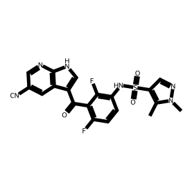 [C-]#[N+]c1cnc2[nH]cc(C(=O)c3c(F)ccc(NS(=O)(=O)c4cnn(C)c4C)c3F)c2c1